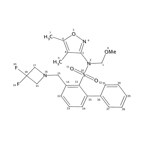 COCN(c1noc(C)c1C)S(=O)(=O)c1c(CN2CC(F)(F)C2)cccc1-c1ccccc1